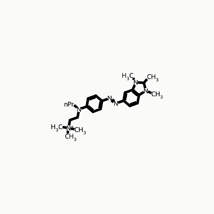 CCCN(CC[N+](C)(C)C)c1ccc(N=Nc2ccc3c(c2)N(C)C(C)N3C)cc1